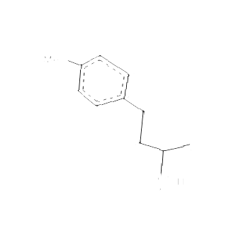 COc1ccc(CCC(C)C(=O)O)cc1